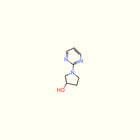 OC1CCN(c2ncccn2)C1